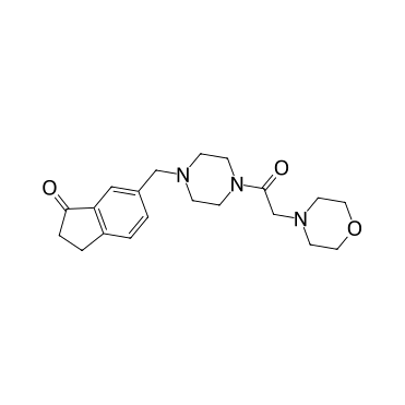 O=C1CCc2ccc(CN3CCN(C(=O)CN4CCOCC4)CC3)cc21